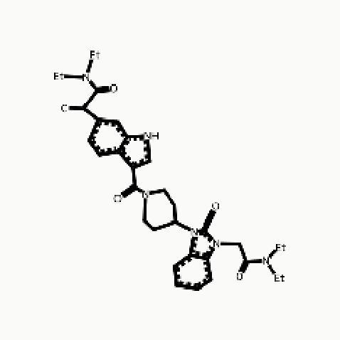 CCN(CC)C(=O)Cn1c(=O)n(C2CCN(C(=O)c3c[nH]c4cc(C(Cl)C(=O)N(CC)CC)ccc34)CC2)c2ccccc21